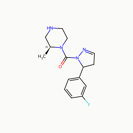 C[C@H]1CNCCN1C(=O)N1N=CCC1c1cccc(F)c1